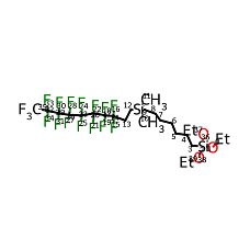 CCO[Si](CCCCCC[Si](C)(C)CCC(F)(F)C(F)(F)C(F)(F)C(F)(F)C(F)(F)C(F)(F)C(F)(F)C(F)(F)F)(OCC)OCC